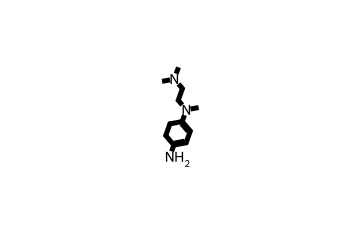 CN(C)CCN(C)C1=CC=C(N)CC1